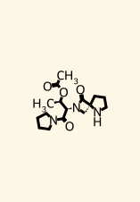 CC(=O)O[C@H](C)[C@@H](C(=O)N1CCCC1)N1C[C@@]2(CCCN2)C1=O